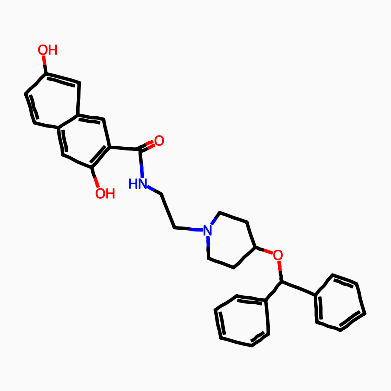 O=C(NCCN1CCC(OC(c2ccccc2)c2ccccc2)CC1)c1cc2cc(O)ccc2cc1O